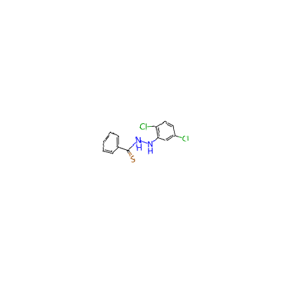 S=C(NNc1cc(Cl)ccc1Cl)c1ccccc1